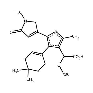 Cc1sc(C2=CC(=O)N(C)C2)c(C2=CCC(C)(C)CC2)c1C(OC(C)(C)C)C(=O)O